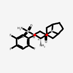 N[C@H](Cc1cc(F)c(F)cc1F)C1CC2CCC(C1)N2C(=O)CNS(N)(=O)=O